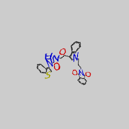 O=C(NCC(=O)c1cn(CCCN2C(=O)c3ccccc3C2=O)c2ccccc12)Nc1csc2ccccc12